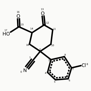 N#CC1(c2cccc(Cl)c2)CCC(=O)C(C(=O)O)C1